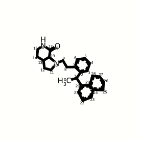 CC(c1ccccc1CCN1CCC2CCNC(=O)C21)c1cccc2ccccc12